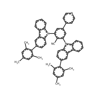 Cc1cc(C)c(-c2ccc3c(c2)c2ccccc2n3-c2cc(-c3ccncc3)cc(-n3c4ccccc4c4cc(-c5c(C)cc(C)cc5C)ccc43)c2C#N)c(C)c1